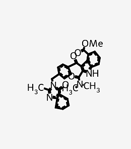 COC(=O)c1cccc2[nH]c(C(=O)N(C)C)c(C(=O)c3ccc(Cn4c(C)nc5ccccc5c4=O)cc3)c12